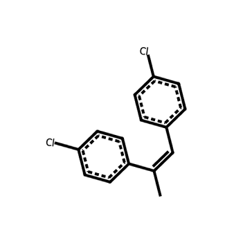 CC(=Cc1ccc(Cl)cc1)c1ccc(Cl)cc1